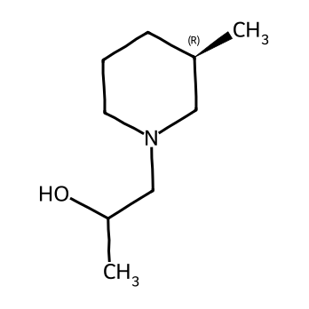 CC(O)CN1CCC[C@@H](C)C1